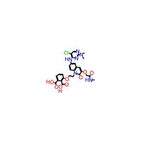 CNC(=O)COc1cc2cc(Nc3nc(N(C)C)ncc3Cl)ccc2n(CCOc2cccc(C(=O)O)c2C(=O)O)c1=O